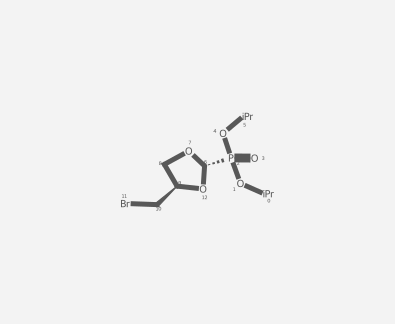 CC(C)OP(=O)(OC(C)C)[C@H]1OC[C@H](CBr)O1